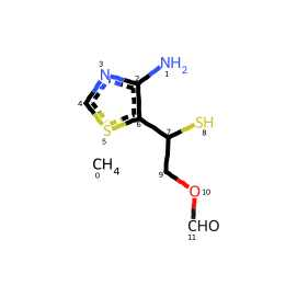 C.Nc1ncsc1C(S)COC=O